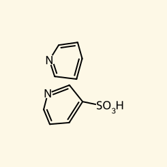 O=S(=O)(O)c1cccnc1.c1ccncc1